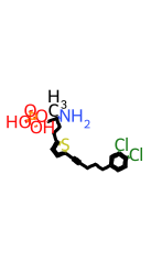 CC(N)(CCc1ccc(C#CCCCc2ccc(Cl)c(Cl)c2)s1)COP(=O)(O)O